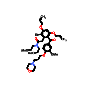 C=CCOc1cc(OCC=C)c(C(=O)c2ccc(OCCCN3CCOCC3)c(OC)c2)c(CC(=O)N(CCOC)CCOC)c1CC